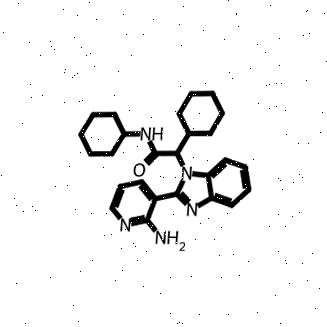 Nc1ncccc1-c1nc2ccccc2n1C(C(=O)NC1CCCCC1)C1CCCCC1